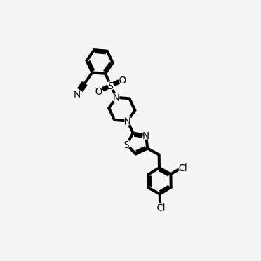 N#Cc1ccccc1S(=O)(=O)N1CCN(c2nc(Cc3ccc(Cl)cc3Cl)cs2)CC1